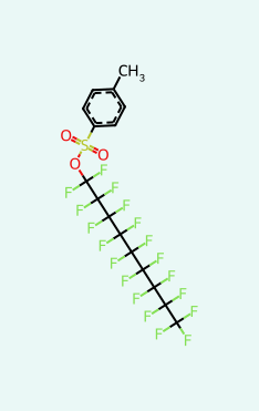 Cc1ccc(S(=O)(=O)OC(F)(F)C(F)(F)C(F)(F)C(F)(F)C(F)(F)C(F)(F)C(F)(F)C(F)(F)C(F)(F)F)cc1